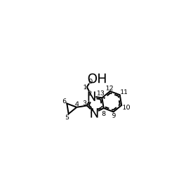 OCn1c(C2CC2)nc2ccccc21